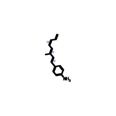 C=C\C=C/C=C(C)/C=C/c1ccc(N)cc1